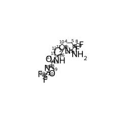 NC1=N[C@]2(CC[C@@]1(F)CF)Cc1ccc(NC(=O)c3coc(C(F)F)n3)cc12